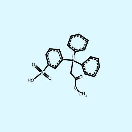 COC(=O)C[PH](c1ccccc1)(c1ccccc1)c1cccc(S(=O)(=O)O)c1